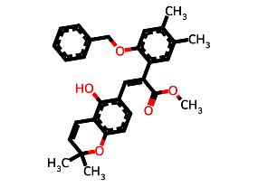 COC(=O)C(=Cc1ccc2c(c1O)C=CC(C)(C)O2)c1cc(C)c(C)cc1OCc1ccccc1